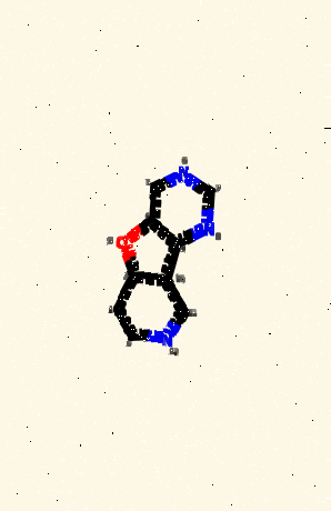 c1cc2oc3cncnc3c2cn1